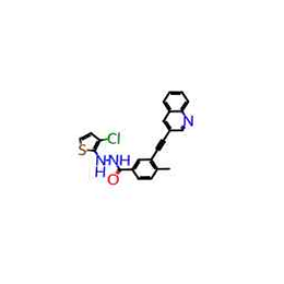 Cc1ccc(C(=O)NNc2sccc2Cl)cc1C#Cc1cnc2ccccc2c1